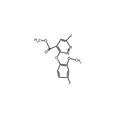 COC(=O)c1cc(I)nnc1Oc1ccc(F)cc1OC